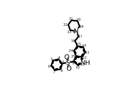 O=S(=O)(c1ccccc1)c1c[nH]c2ccc(CCN3CCCCC3)cc12